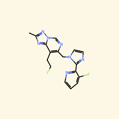 Cc1nc2c(CCF)c(Cn3ccnc3-c3ncccc3F)ncn2n1